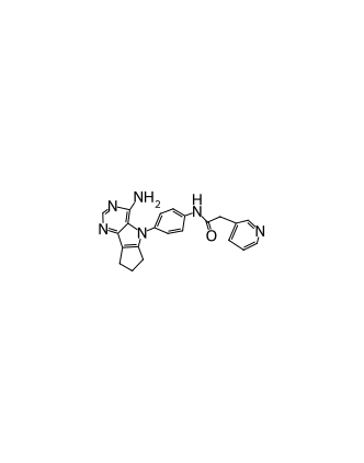 Nc1ncnc2c3c(n(-c4ccc(NC(=O)Cc5cccnc5)cc4)c12)CCC3